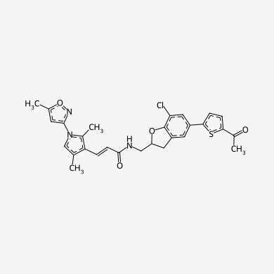 CC(=O)c1ccc(-c2cc(Cl)c3c(c2)CC(CNC(=O)C=Cc2c(C)cn(-c4cc(C)on4)c2C)O3)s1